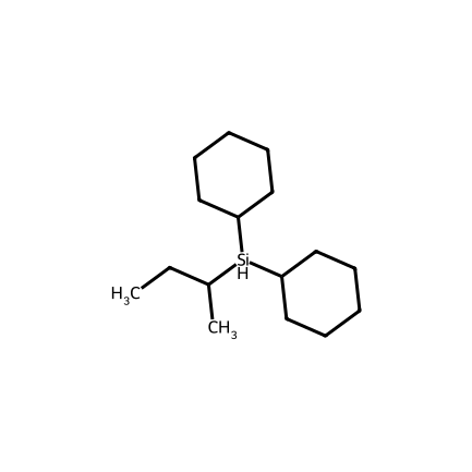 CCC(C)[SiH](C1CCCCC1)C1CCCCC1